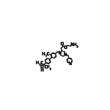 Cc1cc(CN2CCN(Cc3ccncc3)CC2CC(=O)OCCN)ccc1-c1ccc(C(C)(O)C(F)(F)F)cc1